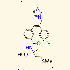 CSCC[C@](C)(NC(=O)c1cccc(/C=C(/Cn2ccnc2)c2ccc(F)cc2)c1)C(=O)O